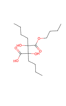 CCCCOC(=O)C(O)(CCCC)C(O)(CCCC)C(=O)O